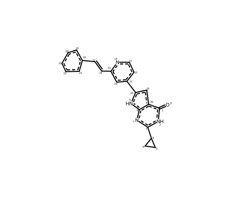 O=c1[nH]c(C2CC2)nc2[nH]c(-c3ccnc(C=Cc4ccccc4)c3)cc12